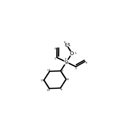 C=C[Si](C=C)(OCC)C1CCCCC1